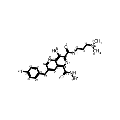 CC(C)NC(=O)c1nc(C(=O)NCCCN(C)C)c(O)c2ncc(Cc3ccc(F)cc3)cc12